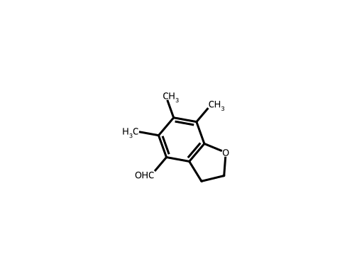 Cc1c(C)c(C=O)c2c(c1C)OCC2